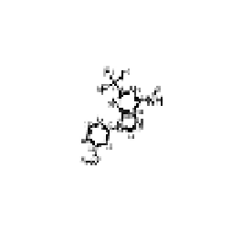 CNc1nc(C(F)(F)F)nc2c1ncn2-c1cccc(OC)c1